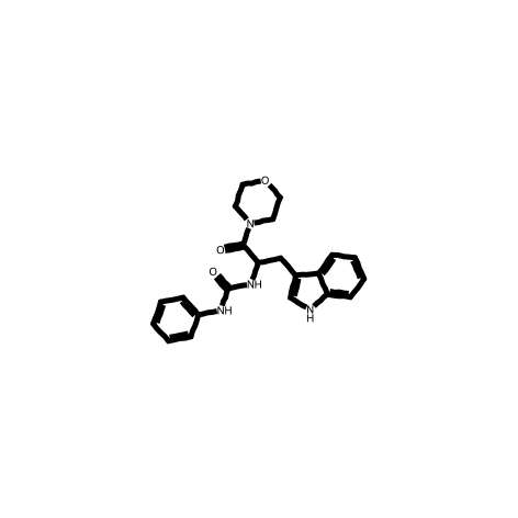 O=C(Nc1ccccc1)NC(Cc1c[nH]c2ccccc12)C(=O)N1CCOCC1